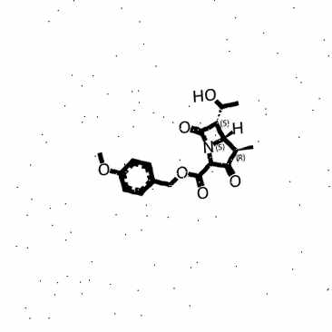 COc1ccc(COC(=O)C2C(=O)[C@H](C)[C@H]3[C@@H](C(C)O)C(=O)N23)cc1